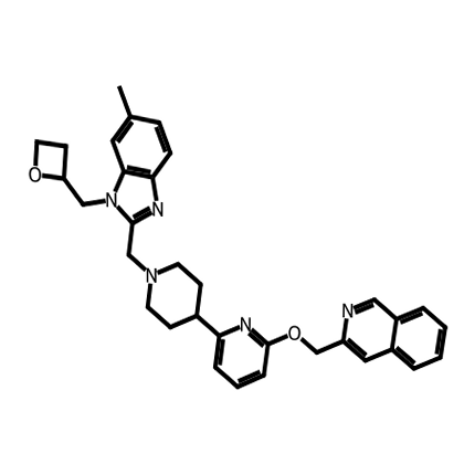 Cc1ccc2nc(CN3CCC(c4cccc(OCc5cc6ccccc6cn5)n4)CC3)n(CC3CCO3)c2c1